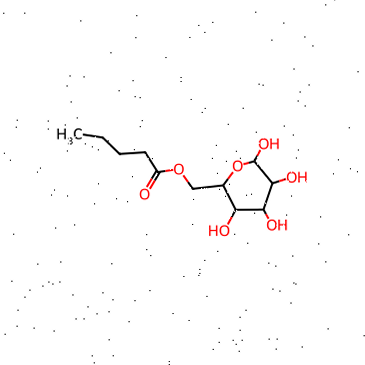 CCCCC(=O)OCC1OC(O)C(O)C(O)C1O